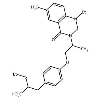 CCSC(Cc1ccc(OCC(C)N2CN(CC)c3ccc(C)cc3C2=O)cc1)C(=O)O